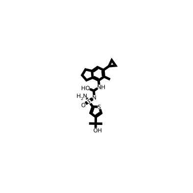 Cc1c(C2CC2)cc2c(c1NC(O)N=S(N)(=O)c1cc(C(C)(C)O)cs1)CCC2